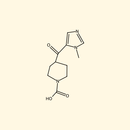 Cn1cncc1C(=O)C1CCN(C(=O)O)CC1